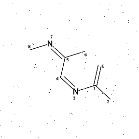 C=C(C)/N=C\C(C)=N/C